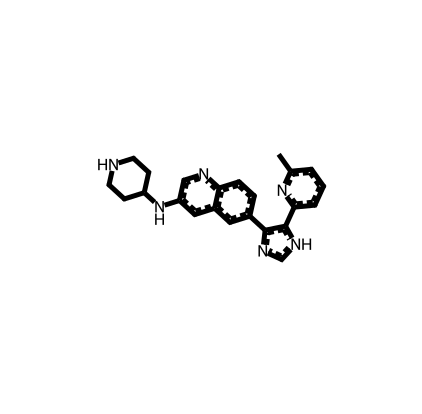 Cc1cccc(-c2[nH]cnc2-c2ccc3ncc(NC4CCNCC4)cc3c2)n1